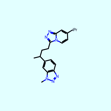 CC(C)c1ccn2c(CCC(C)c3ccc4nnn(C)c4c3)nnc2c1